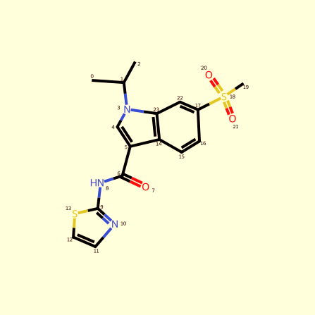 CC(C)n1cc(C(=O)Nc2nccs2)c2ccc(S(C)(=O)=O)cc21